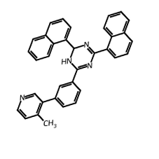 Cc1ccncc1-c1cccc(C2=NC(c3cccc4ccccc34)=NC(c3cccc4ccccc34)N2)c1